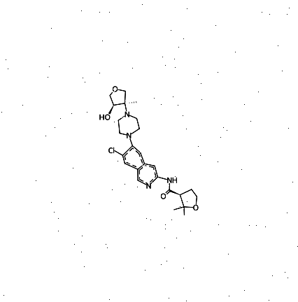 CC1(C)OCC[C@@H]1C(=O)Nc1cc2cc(N3CCN([C@]4(C)COC[C@@H]4O)CC3)c(Cl)cc2cn1